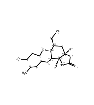 CCCCO[C@@H]1[C@@H](CO)C[C@@H]2OC(=O)N[C@@H]2[C@H]1OCCCC